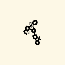 CC1(C)c2ccccc2-c2ccc(-c3ccc4c(c3)c3c(ccc5cccnc53)c3nc5ccccc5n43)cc21